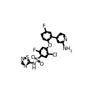 Nc1cc(-c2cc(F)ccc2Oc2cc(F)c(S(=O)(=O)Nc3ncns3)cc2Cl)ccn1